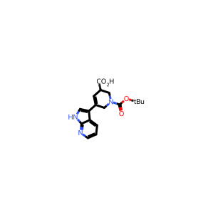 CC(C)(C)OC(=O)N1CC(c2c[nH]c3ncccc23)=CC(C(=O)O)C1